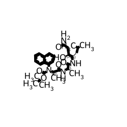 CC(C)C[C@H](NC(=O)[C@H](C)NC(=O)[C@H](C)N(C(=O)OC(C)(C)C)c1cccc2ccccc12)[C@@H](O)CC(N)=O